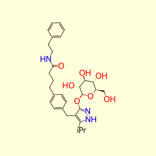 CC(C)c1[nH]nc(O[C@@H]2O[C@H](CO)[C@@H](O)[C@H](O)[C@H]2O)c1Cc1ccc(CCCC(=O)NCCc2ccccc2)cc1